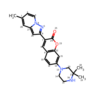 Cc1ccn2nc(-c3cc4ccc(N5CCNC(C)(C)C5)cc4oc3=O)cc2c1